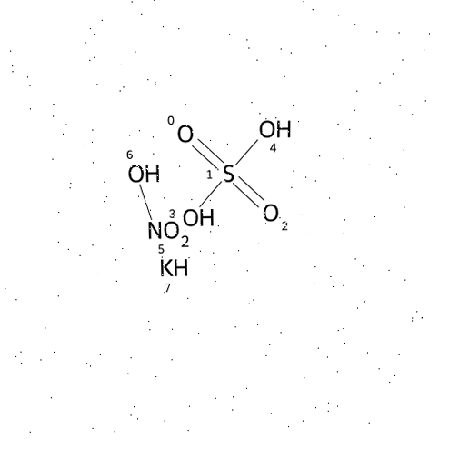 O=S(=O)(O)O.O=[N+]([O-])O.[KH]